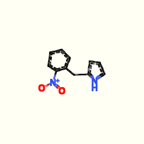 O=[N+]([O-])c1ccccc1Cc1ccc[nH]1